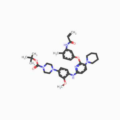 C=CC(=O)Nc1cc(Oc2nc(Nc3ccc(N4CCN(C(=O)OC(C)(C)C)CC4)cc3OC)ccc2N2CCCCC2)ccc1C